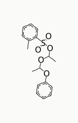 Cc1ccccc1S(=O)(=O)OC(C)OC(C)Oc1ccccc1